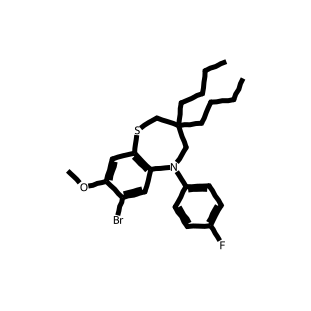 CCCCC1(CCCC)CSc2cc(OC)c(Br)cc2N(c2ccc(F)cc2)C1